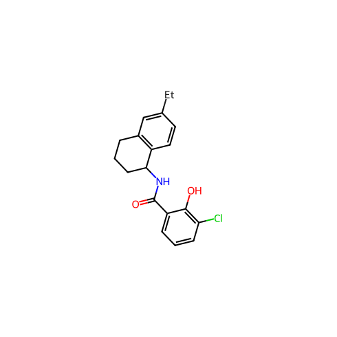 CCc1ccc2c(c1)CCCC2NC(=O)c1cccc(Cl)c1O